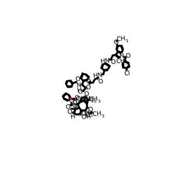 COc1ccc2c(c1)c(CC(=O)Nc1ccc(CNC(=O)CCC(=O)O[C@@H](C(=O)O[C@H]3C[C@@]4(O)[C@@H](OC(=O)c5ccccc5)[C@@H]5[C@]6(OC(C)=O)CO[C@@H]6C[C@H](O)[C@@]5(C)C(=O)[C@H](OC(C)=O)C(=C3C)C4(C)C)[C@@H](NC(=O)c3ccccc3)c3ccccc3)cc1)c(C)n2C(=O)c1ccc(Cl)cc1